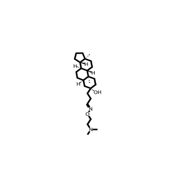 CN(C)CCON=CCC[C@]1(O)CC[C@@]2(C)[C@H](CC[C@H]3[C@@H]4CCC[C@@]4(C)CC[C@@H]32)C1